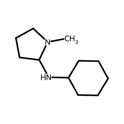 CN1CCCC1NC1CCCCC1